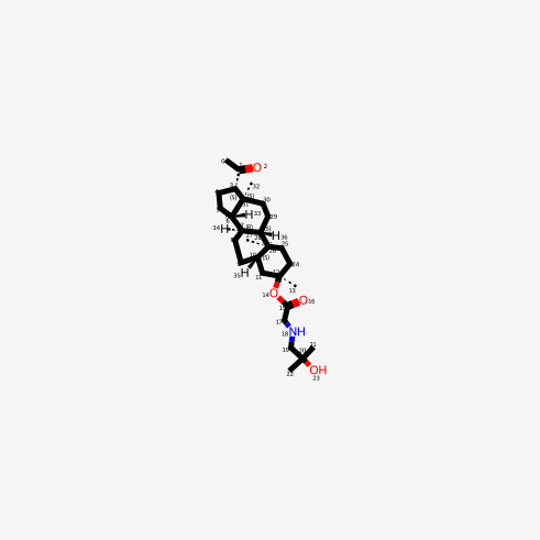 CC(=O)[C@H]1CC[C@H]2[C@@H]3CC[C@H]4C[C@](C)(OC(=O)CNCC(C)(C)O)CC[C@]4(C)[C@H]3CC[C@]12C